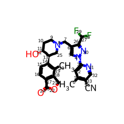 Cc1cc(-n2cc(CN3CC[C@@H](O)[C@H](c4ccc5c(c4C)COC5=O)C3)c(C(F)F)n2)ncc1C#N